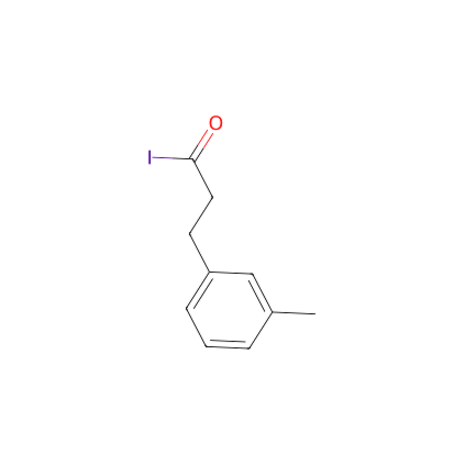 Cc1cccc(CCC(=O)I)c1